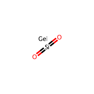 O=[Si]=O.[Ge]